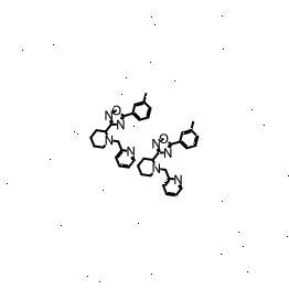 Cc1cccc(-c2nc(C3CCCCN3Cc3ccccn3)no2)c1.Cc1cccc(-c2nc(C3CCCCN3Cc3ccccn3)no2)c1